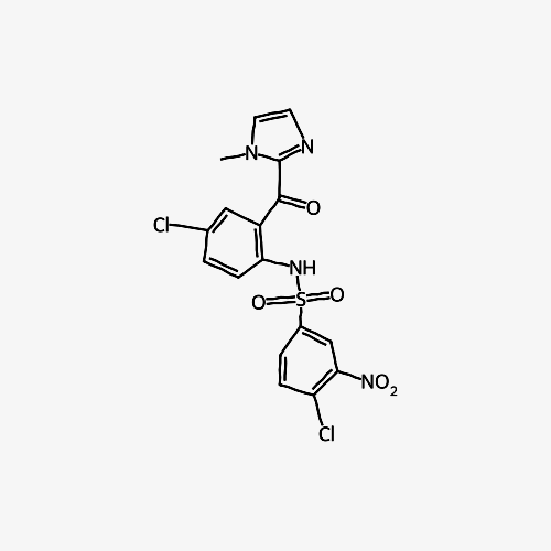 Cn1ccnc1C(=O)c1cc(Cl)ccc1NS(=O)(=O)c1ccc(Cl)c([N+](=O)[O-])c1